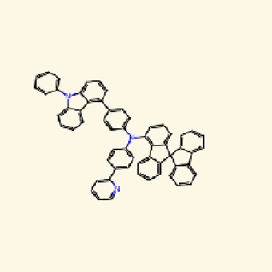 c1ccc(-n2c3ccccc3c3c(-c4ccc(N(c5ccc(-c6ccccn6)cc5)c5cccc6c5-c5ccccc5C65c6ccccc6-c6ccccc65)cc4)cccc32)cc1